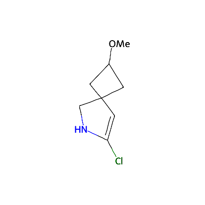 COC1CC2(C=C(Cl)NC2)C1